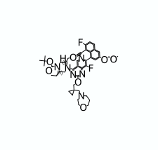 C#Cc1c(F)ccc2cc(OCOC)cc(-c3nc4c5c(nc(OCC6(CN7CCCOCC7)CC6)nc5c3F)N3C[C@@H](CC)N(C(=O)OC(C)(C)C)C[C@H]3CO4)c12